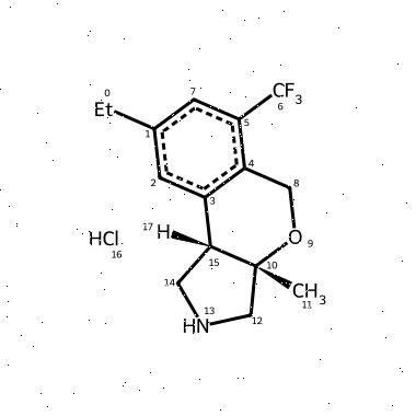 CCc1cc2c(c(C(F)(F)F)c1)CO[C@]1(C)CNC[C@H]21.Cl